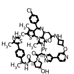 Cc1ncsc1-c1ccc([C@H](C)NC(=O)[C@@H]2C[C@@H](O)CN2C(=O)[C@H](C(C)C)n2cc(-c3ccnc(OC4CC(NC(=O)C[C@@H]5N=C(c6ccc(Cl)cc6)c6c(sc(C)c6C)-n6c(C)nnc65)C4)c3)cn2)cc1